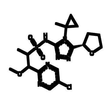 COC(c1ncc(Cl)cn1)C(C)S(=O)(=O)Nc1nnc([C@@H]2CCCO2)n1C1(C)CC1